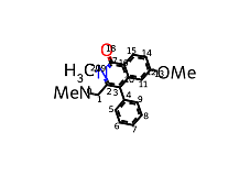 CNCc1c(-c2ccccc2)c2cc(OC)ccc2c(=O)n1C